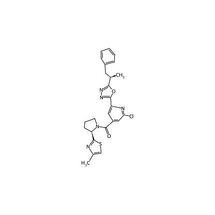 Cc1csc([C@H]2CCCN2C(=O)c2cc(Cl)nc(-c3nnc([C@H](C)Cc4ccccc4)o3)c2)n1